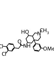 COc1cccc(C23CCN(C)CC2C(O)C[C@H](NC(=O)Cc2ccc(Cl)c(Cl)c2)C3)c1